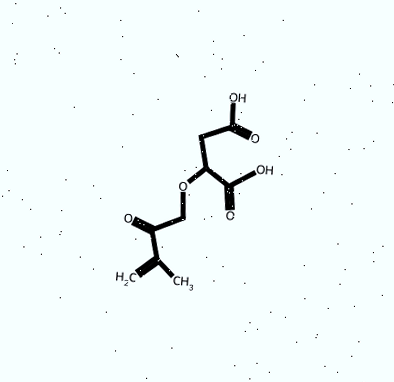 C=C(C)C(=O)COC(CC(=O)O)C(=O)O